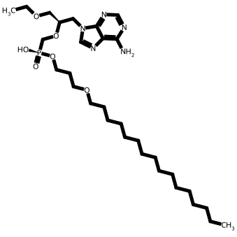 CCCCCCCCCCCCCCCCOCCCO[P@@](=O)(O)CO[C@@H](COCC)Cn1cnc2c(N)ncnc21